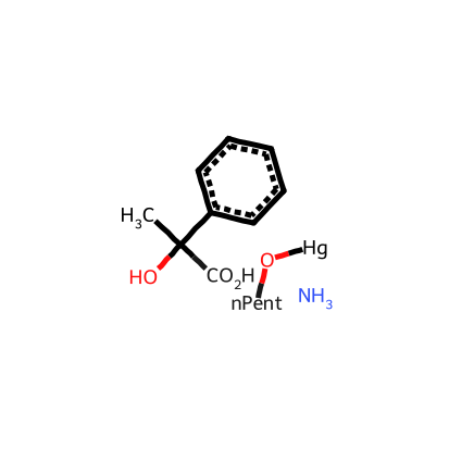 CC(O)(C(=O)O)c1ccccc1.CCCCC[O][Hg].N